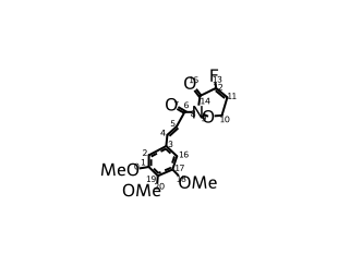 COc1cc(C=CC(=O)N2OCC=C(F)C2=O)cc(OC)c1OC